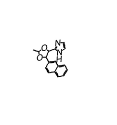 CC1OC(c2ccc3ccccc3c2)C(c2ncc[nH]2)O1